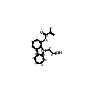 C=C(C)C(=O)Oc1cccc2c3ccccc3n(CCO)c12